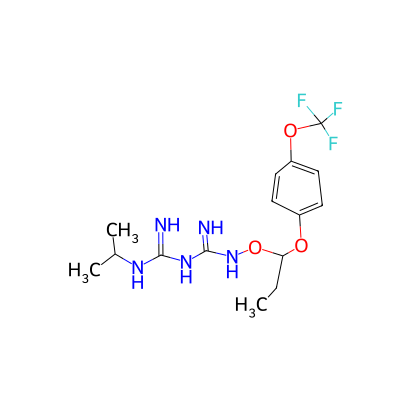 CCC(ONC(=N)NC(=N)NC(C)C)Oc1ccc(OC(F)(F)F)cc1